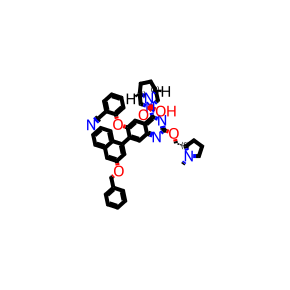 CN1CCC[C@H]1COc1nc(N2C[C@H]3CC[C@@H](C2)N3C(=O)O)c2cc(Oc3ccccc3C#N)c(-c3cc(OCc4ccccc4)cc4ccccc34)cc2n1